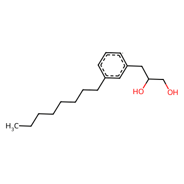 CCCCCCCCc1cc[c]c(CC(O)CO)c1